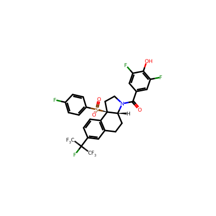 O=C(c1cc(F)c(O)c(F)c1)N1CC[C@@]2(S(=O)(=O)c3ccc(F)cc3)c3ccc(C(F)(C(F)(F)F)C(F)(F)F)cc3CC[C@@H]12